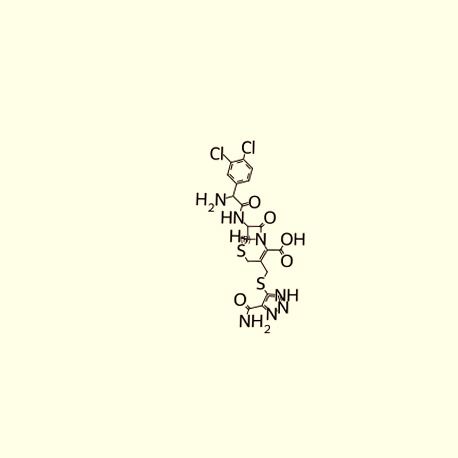 NC(=O)c1nn[nH]c1SCC1=C(C(=O)O)N2C(=O)C(NC(=O)C(N)c3ccc(Cl)c(Cl)c3)[C@H]2SC1